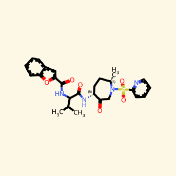 CC(C)C(NC(=O)c1cc2ccccc2o1)C(=O)N[C@@H]1CC[C@H](C)N(S(=O)(=O)c2ccccn2)CC1=O